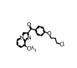 Cc1cccn2cc(C(=O)c3ccc(OCCCCl)cc3)nc12